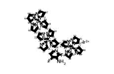 Nc1c(F)ccnc1F.[Ir+3].c1cnn([B-](n2cccn2)(n2cccn2)n2cccn2)c1.c1cnn([B-](n2cccn2)(n2cccn2)n2cccn2)c1.c1cnn([B-](n2cccn2)(n2cccn2)n2cccn2)c1